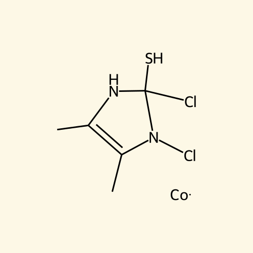 CC1=C(C)N(Cl)C(S)(Cl)N1.[Co]